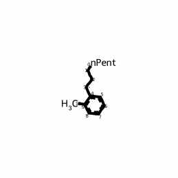 CCCCCCC[CH]c1ccccc1C